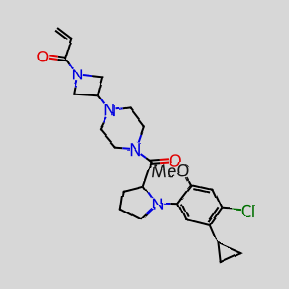 C=CC(=O)N1CC(N2CCN(C(=O)C3CCCN3c3cc(C4CC4)c(Cl)cc3OC)CC2)C1